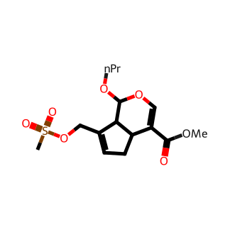 CCCOC1OC=C(C(=O)OC)C2CC=C(COS(C)(=O)=O)C12